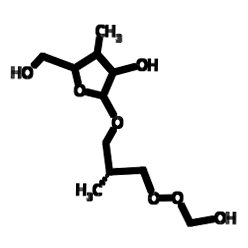 CC1C(CO)OC(OC[C@@H](C)COOCO)C1O